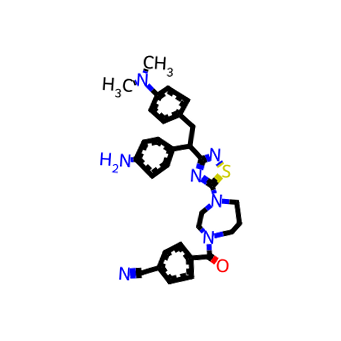 CN(C)c1ccc(CC(c2ccc(N)cc2)c2nsc(N3CCCN(C(=O)c4ccc(C#N)cc4)CC3)n2)cc1